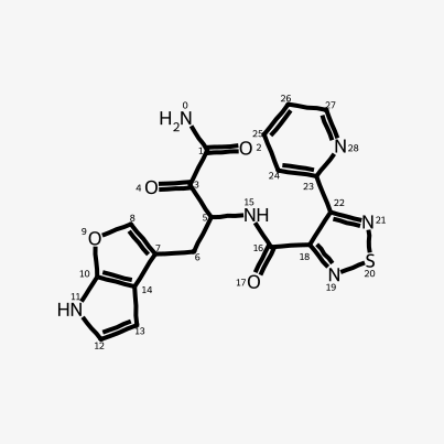 NC(=O)C(=O)C(Cc1coc2[nH]ccc12)NC(=O)c1nsnc1-c1ccccn1